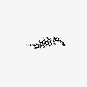 O=c1c2ccc3c4c(O)cc5c6c(ccc(c7ccc(c2c73)c2nc3ccc(S(=O)(=O)O)cc3n12)c46)c(=O)n1c2cc(SOOO)ccc2nc51